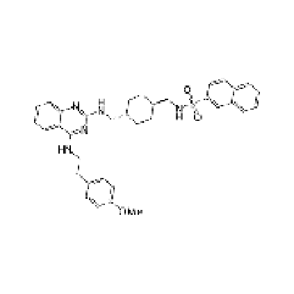 COc1ccc(CCNc2nc(NC[C@H]3CC[C@H](CNS(=O)(=O)c4ccc5ccccc5c4)CC3)nc3ccccc23)cc1